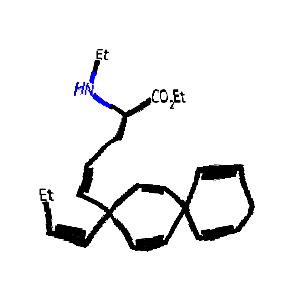 CC/C=C\C1(/C=C\CC(NCC)C(=O)OCC)C=CC2(C=CCC=C2)C=C1